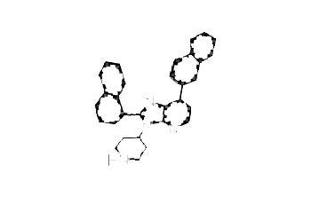 c1ccc2cc(-c3ccnc4c3nc(-c3cccc5ccccc35)n4C3CCNCC3)ccc2c1